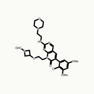 COc1cc(OC)c(Cl)c(-c2cc3cnc(NCCN4CCOCC4)nc3n(CCOC3CN(C=O)C3)c2=O)c1